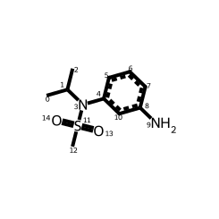 CC(C)N(c1cccc(N)c1)S(C)(=O)=O